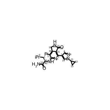 CC(C)C[C@@H](Nc1nc(-c2cnn(C3CC3)c2)c2c(c1F)CNC2=O)C(N)=O